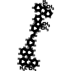 CC1(C)C2=C(CCC=C2)N(c2ccc3c(c2)C(C)(C)c2cc(/C=C/c4ccc(-c5ccc(N6c7ccccc7C(C)(C)c7ccccc76)c6ccccc56)cc4)ccc2-3)c2ccccc21